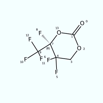 O=C1OCC(F)(F)[C@@](F)(C(F)(F)F)O1